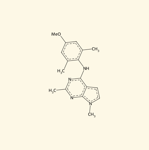 COc1cc(C)c(Nc2nc(C)nc3c2ccn3C)c(C)c1